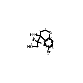 NC1(C(F)(F)CO)CCSc2ccc(Br)cc21